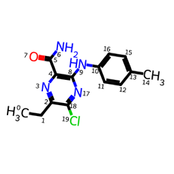 CCc1nc(C(N)=O)c(Nc2ccc(C)cc2)nc1Cl